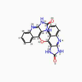 O=c1[nH]c2nc3ccccc3c(Oc3c4ccccc4nc4[nH]c(=O)[nH]c34)c2[nH]1